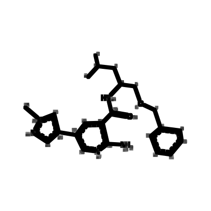 CC(C)CC(COCc1ccccc1)NC(=O)c1cc(-c2cnn(C)c2)cnc1N